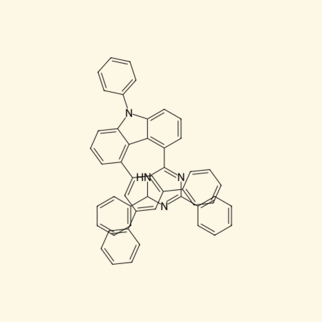 c1ccc(C2=NC(c3ccccc3)NC(c3cccc4c3c3c(-c5cc(-c6ccccc6)cc(-c6ccccc6)c5)cccc3n4-c3ccccc3)=N2)cc1